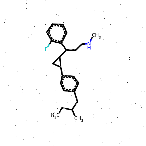 CCC(C)Cc1ccc(C2CC2C(CCNC)c2ccccc2F)cc1